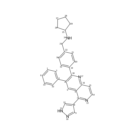 c1ccc(-c2cc3c(-c4cn[nH]c4)nccc3nc2-c2ccc(CNC3CCCC3)cc2)cc1